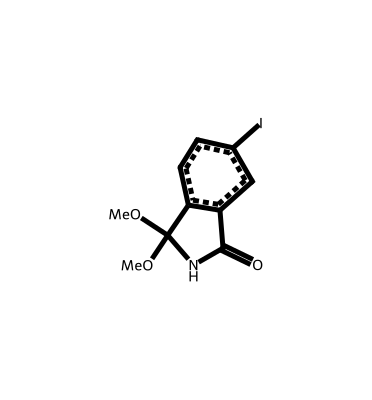 COC1(OC)NC(=O)c2cc(I)ccc21